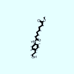 COC(=O)CCCCCCC(=O)Nc1ccc(CCO)cc1